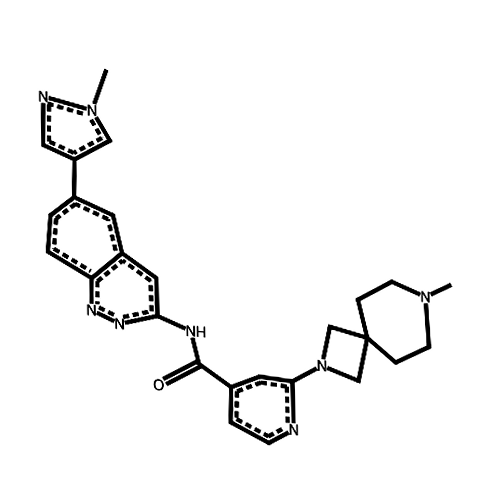 CN1CCC2(CC1)CN(c1cc(C(=O)Nc3cc4cc(-c5cnn(C)c5)ccc4nn3)ccn1)C2